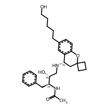 CC(=O)N[C@@H](Cc1ccccc1)[C@H](O)CN[C@H]1CC2(CCC2)Oc2ccc(CCCCCO)cc21